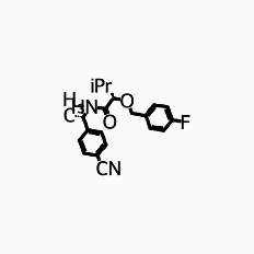 CC(C)[C@@H](OCc1ccc(F)cc1)C(=O)N[C@@H](C)c1ccc(C#N)cc1